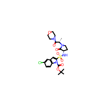 C[C@@H](C(=O)N1CCOCC1)N1CC[C@H](NS(=O)(=O)c2cc3cc(Cl)ccc3n2C(=O)OC(C)(C)C)C1=O